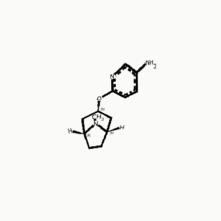 CN1[C@@H]2CC[C@H]1C[C@H](Oc1ccc(N)cn1)C2